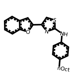 CCCCCCCCc1ccc(Nc2nc(-c3cc4ccccc4o3)cs2)cc1